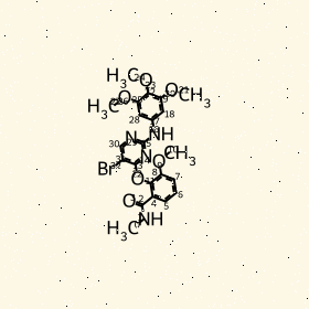 CNC(=O)c1cccc(OC)c1Oc1nc(Nc2cc(OC)c(OC)c(OC)c2)ncc1Br